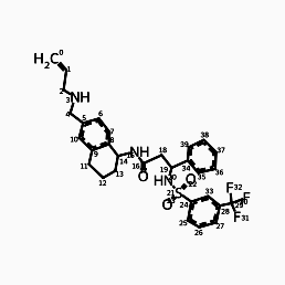 C=CCNCc1ccc2c(c1)CCCC2NC(=O)CC(NS(=O)(=O)c1cccc(C(F)(F)F)c1)c1ccccc1